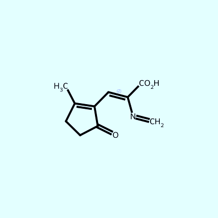 C=N/C(=C\C1=C(C)CCC1=O)C(=O)O